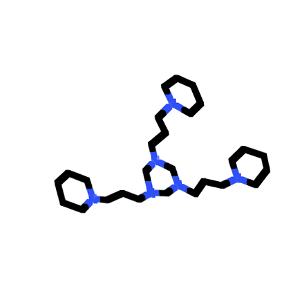 C1CCN(CCCN2CN(CCCN3CCCCC3)CN(CCCN3CCCCC3)C2)CC1